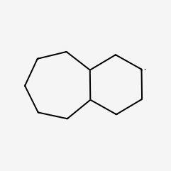 [CH]1CCC2CCCCCC2C1